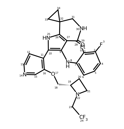 CCc1c(F)cccc1Nc1c(-c2ccncc2OC[C@@H]2CCN2CC(F)(F)F)[nH]c2c1C(=O)NCC21CC1